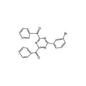 O=C(c1ccccc1)c1nc(C(=O)c2ccccc2)nc(-c2cccc(Br)c2)n1